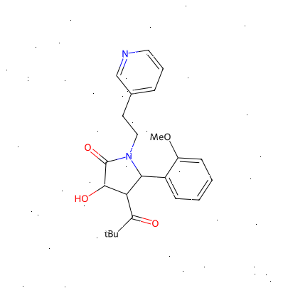 COc1ccccc1C1C(C(=O)C(C)(C)C)C(O)C(=O)N1CCc1cccnc1